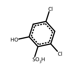 O=S(=O)(O)c1c(O)cc(Cl)cc1Cl